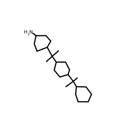 CC(C)(C1CCCCC1)C1CCC(C(C)(C)C2CCC(N)CC2)CC1